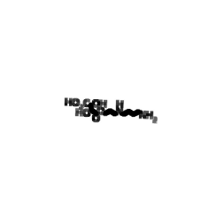 NCCCCNCCCOC(=O)C(O)C(O)C(=O)O